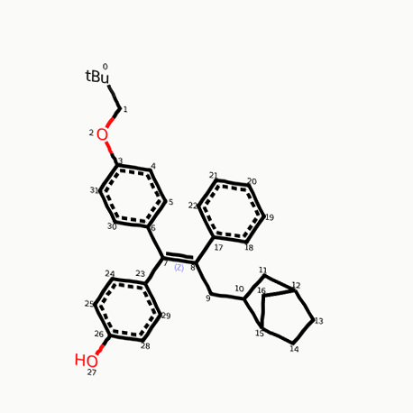 CC(C)(C)COc1ccc(/C(=C(/CC2CC3CCC2C3)c2ccccc2)c2ccc(O)cc2)cc1